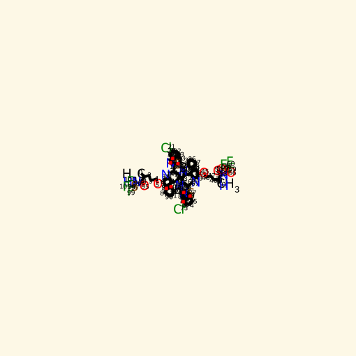 CC(CCCOc1ccc(-c2c3/c(=C(\C#N)c4nc5cc(Cl)ccc5s4)n(B(c4ccccc4)c4ccccc4)c(-c4ccc(OCCCC(C)C(=O)NS(=O)(=O)C(F)(F)F)cc4)c3/c(=C(\C#N)c3nc4cc(Cl)ccc4s3)n2B(c2ccccc2)c2ccccc2)cc1)C(=O)NSC(F)(F)F